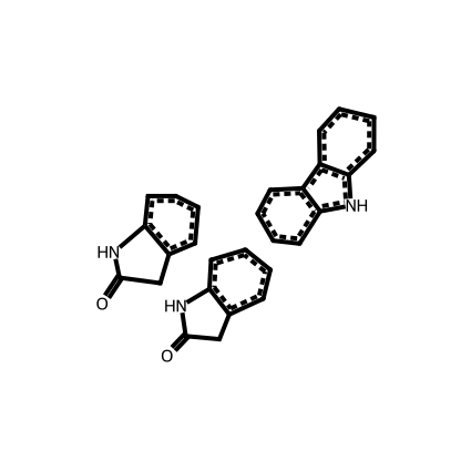 O=C1Cc2ccccc2N1.O=C1Cc2ccccc2N1.c1ccc2c(c1)[nH]c1ccccc12